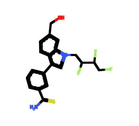 NC(=S)c1cccc(-c2cn(CC(F)C(F)CF)c3cc(CO)ccc23)c1